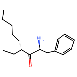 CCCCC[C@@H](CC)C(=O)[C@@H](N)Cc1ccccc1